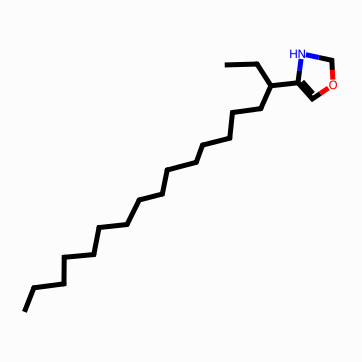 CCCCCCCCCCCCCCCC(CC)C1=COCN1